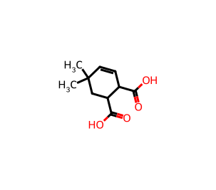 CC1(C)C=CC(C(=O)O)C(C(=O)O)C1